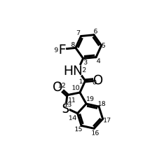 O=C(Nc1ccccc1F)C1C(=O)Sc2ccccc21